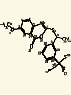 COc1ccc2nc(SC(C)c3cccc(C(F)(F)F)c3)oc(=O)c2c1